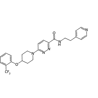 O=C(NCCc1ccncc1)c1ccc(N2CCC(Oc3ccccc3C(F)(F)F)CC2)nn1